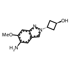 COc1cc2nn([C@H]3C[C@H](O)C3)cc2cc1N